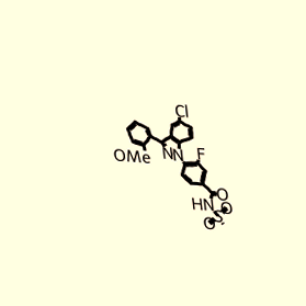 COc1ccccc1-c1nn(-c2ccc(C(=O)NS(C)(=O)=O)cc2F)c2ccc(Cl)cc12